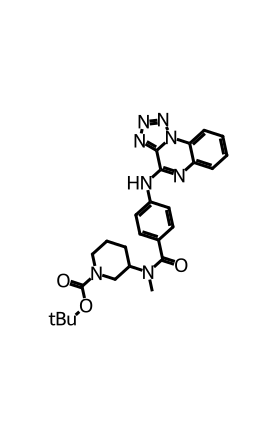 CN(C(=O)c1ccc(Nc2nc3ccccc3n3nnnc23)cc1)C1CCCN(C(=O)OC(C)(C)C)C1